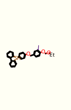 CCOCOc1ccc(COc2ccc([SH]3c4ccccc4-c4ccccc43)cc2)cc1I